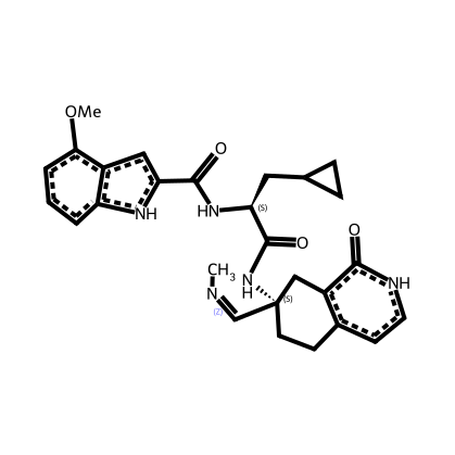 C/N=C\[C@]1(NC(=O)[C@H](CC2CC2)NC(=O)c2cc3c(OC)cccc3[nH]2)CCc2cc[nH]c(=O)c2C1